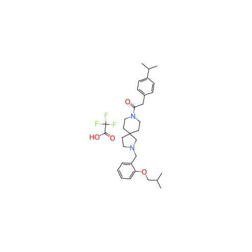 CC(C)COc1ccccc1CN1CCC2(CCN(C(=O)Cc3ccc(C(C)C)cc3)CC2)C1.O=C(O)C(F)(F)F